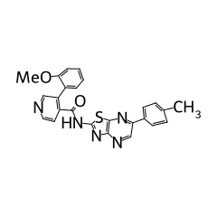 COc1ccccc1-c1cnccc1C(=O)Nc1nc2ncc(-c3ccc(C)cc3)nc2s1